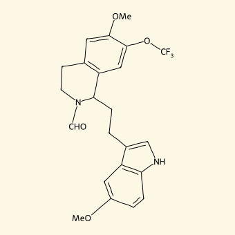 COc1ccc2[nH]cc(CCC3c4cc(OC(F)(F)F)c(OC)cc4CCN3C=O)c2c1